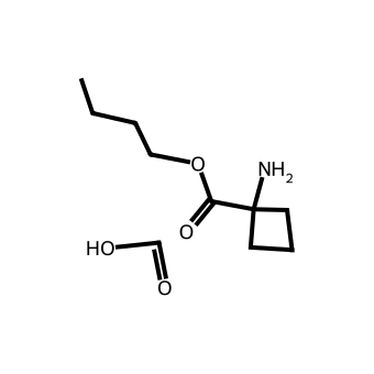 CCCCOC(=O)C1(N)CCC1.O=CO